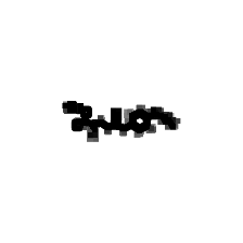 CC(C)(C)OC(=O)NCCNCc1ccc(N=[N+]=[N-])cc1